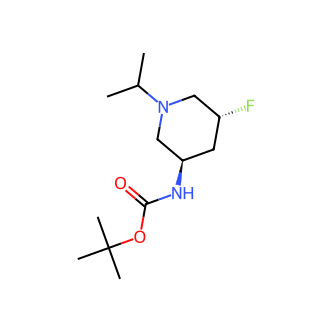 CC(C)N1C[C@H](F)C[C@@H](NC(=O)OC(C)(C)C)C1